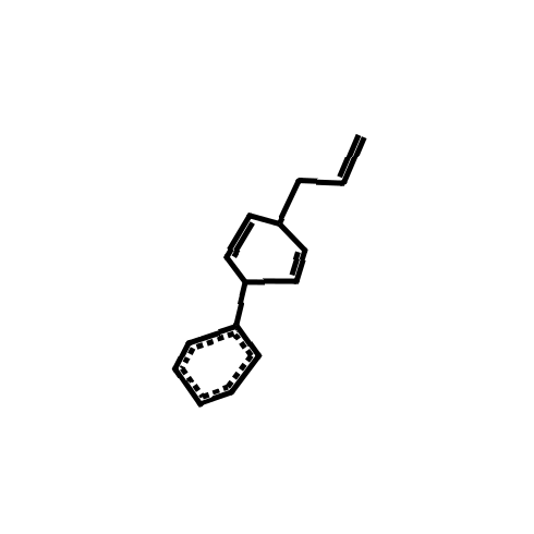 C=CC[C]1C=CC(c2ccccc2)C=C1